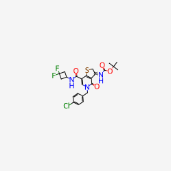 CC(C)(C)OC(=O)N[C@H]1CSc2c(C(=O)NC3CC(F)(F)C3)cn(Cc3ccc(Cl)cc3)c(=O)c21